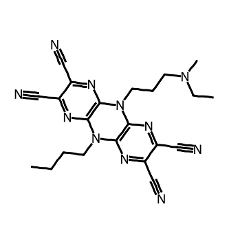 CCCCN1c2nc(C#N)c(C#N)nc2N(CCCN(C)CC)c2nc(C#N)c(C#N)nc21